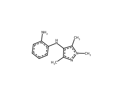 Cc1nn(C)c(C)c1Nc1ccccc1N